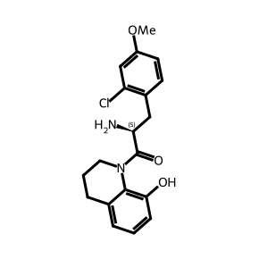 COc1ccc(C[C@H](N)C(=O)N2CCCc3cccc(O)c32)c(Cl)c1